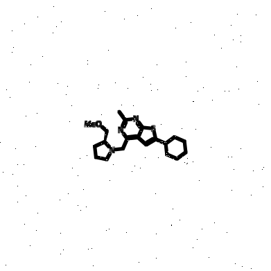 COC[C@@H]1CCCN1Cc1nc(C)nc2sc(C3CCCCC3)cc12